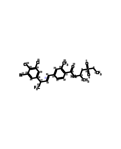 CC(CS(=O)(=O)CC(F)(F)F)NC(=O)c1ccc(/C=C/C(c2cc(Cl)c(Cl)c(Br)c2)C(F)(F)F)cc1C(F)(F)F